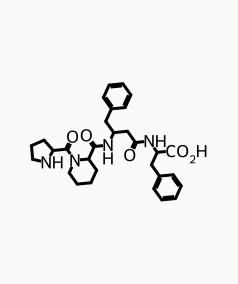 O=C(CC(Cc1ccccc1)NC(=O)C1CCCCN1C(=O)C1CCCN1)NC(Cc1ccccc1)C(=O)O